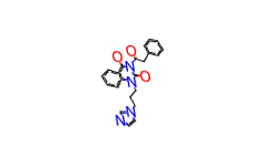 O=C(Cc1ccccc1)n1c(=O)c2ccccc2n(CCCn2ccnc2)c1=O